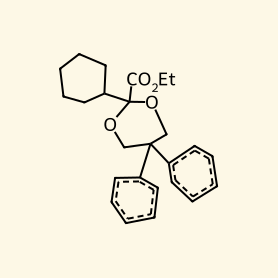 CCOC(=O)C1(C2CCCCC2)OCC(c2ccccc2)(c2ccccc2)CO1